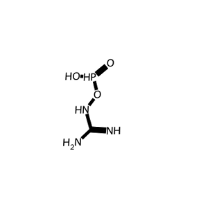 N=C(N)NO[PH](=O)O